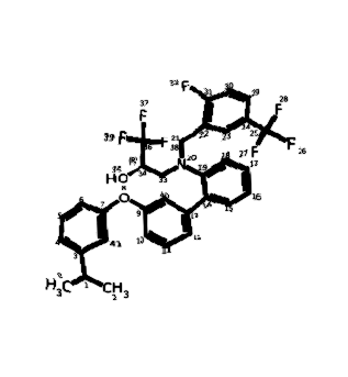 CC(C)c1cccc(Oc2cccc(-c3ccccc3N(Cc3cc(C(F)(F)F)ccc3F)C[C@@H](O)C(F)(F)F)c2)c1